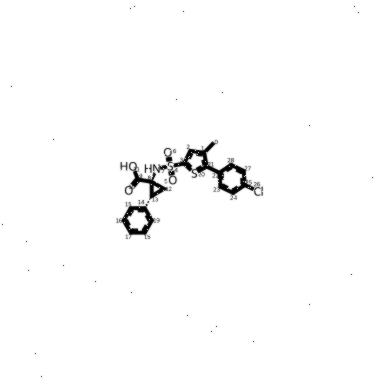 Cc1cc(S(=O)(=O)N[C@@]2(C(=O)O)C[C@@H]2c2ccccc2)sc1-c1ccc(Cl)cc1